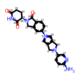 Nc1ccc(N2Cc3cn(-c4ccc5c(c4)CN([C@@H]4CCC(=O)NC4=O)C5=O)cc3C2)cn1